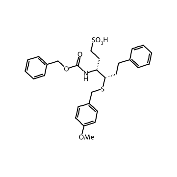 COc1ccc(CS[C@@H](CCc2ccccc2)[C@@H](CCS(=O)(=O)O)NC(=O)OCc2ccccc2)cc1